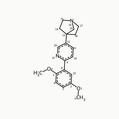 COc1ccc(OC)c(-c2ccc(C34CCN(CC3)C4)cn2)c1